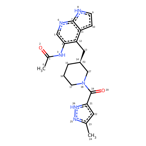 CC(=O)Nc1cnc2[nH]ccc2c1C[C@@H]1CCCN(C(=O)c2cc(C)n[nH]2)C1